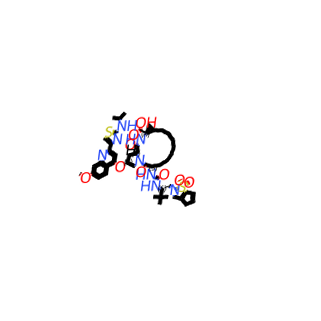 COc1ccc2c(O[C@@H]3C[C@H]4C(=O)N[C@]5(C(=O)O)CC5CCCCCCC[C@H](NC(=O)N[C@H](CN5CC6=C(C=CC6)S5(=O)=O)C(C)(C)C)C(=O)N4C3)cc(-c3csc(NC(C)C)n3)nc2c1